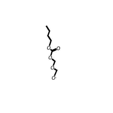 CCCCOC(=O)OCOC[O]